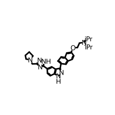 CC(C)N(CCOc1ccc2cc(-c3n[nH]c4ccc(-c5nc(CN6CCCC6)n[nH]5)cc34)ccc2c1)C(C)C